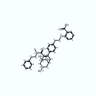 CCC(=O)c1ccccc1OCCc1ccc(C2=C(C(=O)N(C)CCc3ccccc3)[C@H]3CN(C(C)=O)CC(C2)N3)cc1